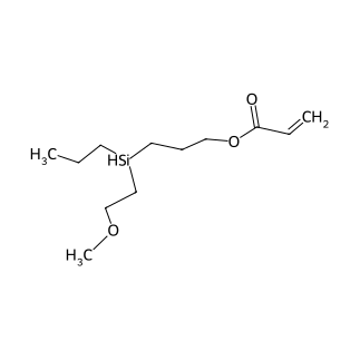 C=CC(=O)OCCC[SiH](CCC)CCOC